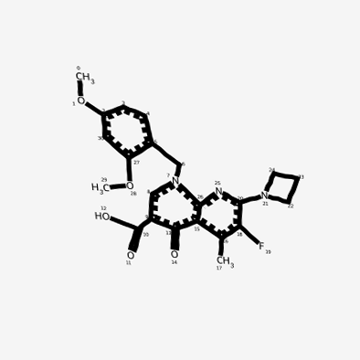 COc1ccc(Cn2cc(C(=O)O)c(=O)c3c(C)c(F)c(N4CCC4)nc32)c(OC)c1